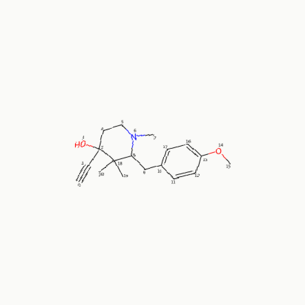 C#CC1(O)CCN(C)C(Cc2ccc(OC)cc2)C1(C)C